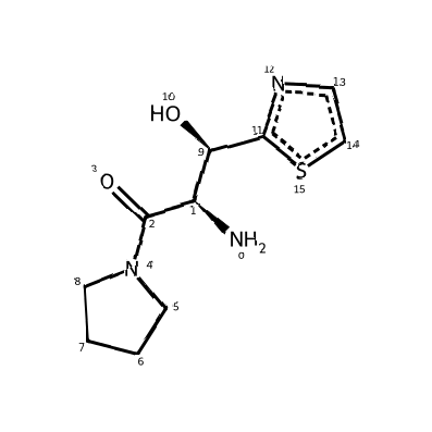 N[C@@H](C(=O)N1CCCC1)[C@@H](O)c1nccs1